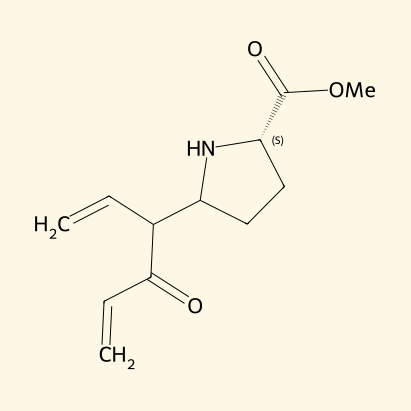 C=CC(=O)C(C=C)C1CC[C@@H](C(=O)OC)N1